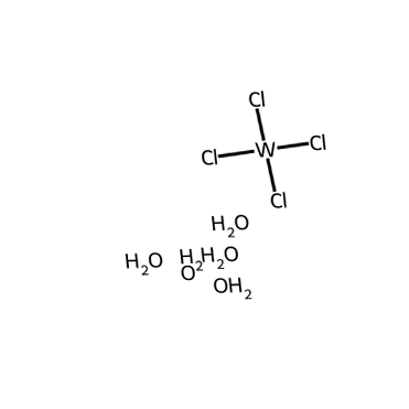 O.O.O.O.O.[Cl][W]([Cl])([Cl])[Cl]